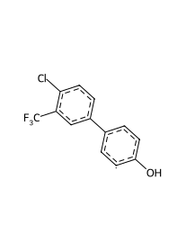 Oc1[c]cc(-c2ccc(Cl)c(C(F)(F)F)c2)cc1